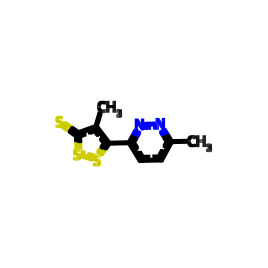 Cc1ccc(-c2ssc(=S)c2C)nn1